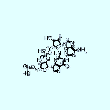 Nc1nc2c(ncn2[C@@H]2O[C@H](CO[PH](=O)O)[C@@H](F)[C@H]2OP(=O)(S)OC[C@H]2O[C@@H](n3cnc4c(N)ncnc43)[C@H](F)[C@@H]2O)c(=O)[nH]1